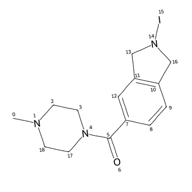 CN1CCN(C(=O)c2ccc3c(c2)CN(I)C3)CC1